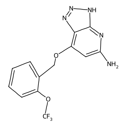 Nc1cc(OCc2ccccc2OC(F)(F)F)c2nn[nH]c2n1